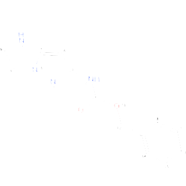 O=C(Nc1cc2n(n1)CCN2)OCc1ccccc1